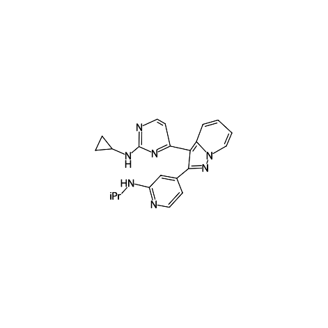 CC(C)Nc1cc(-c2nn3ccccc3c2-c2ccnc(NC3CC3)n2)ccn1